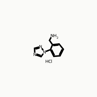 Cl.NCc1ccccc1-n1cncn1